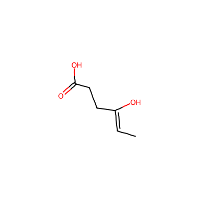 CC=C(O)CCC(=O)O